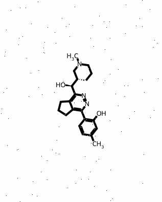 Cc1ccc(-c2nnc([C@@H](O)[C@H]3CCCN(C)C3)c3c2CCC3)c(O)c1